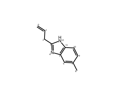 C=CCc1nc2cc(C)ccc2[nH]1